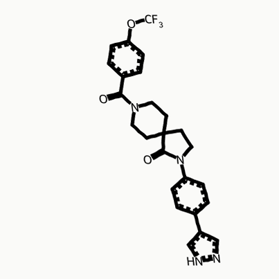 O=C(c1ccc(OC(F)(F)F)cc1)N1CCC2(CC1)CCN(c1ccc(-c3cn[nH]c3)cc1)C2=O